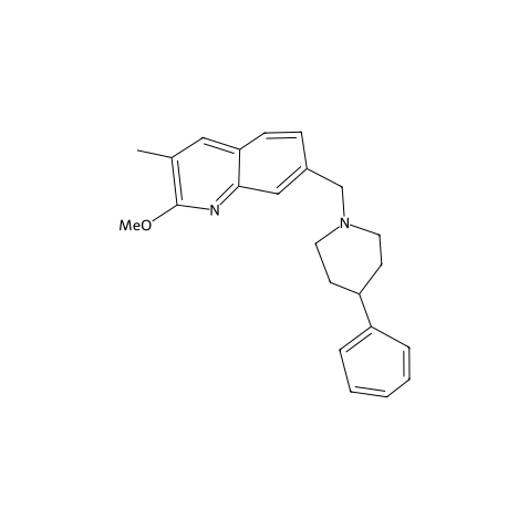 COc1nc2cc(CN3CCC(c4ccccc4)CC3)ccc2cc1C